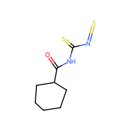 O=C(NC(=S)N=S)C1CCCCC1